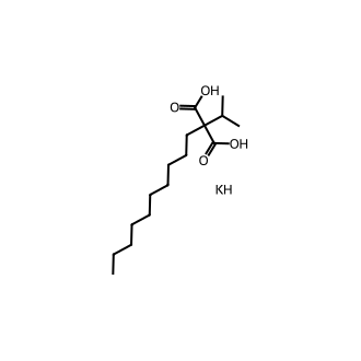 CCCCCCCCCCC(C(=O)O)(C(=O)O)C(C)C.[KH]